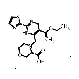 C=C(OCC)C1=C(CN2CCOCC2C(=O)O)NC(c2nccs2)=NC1